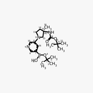 CC(C)(C)OB(O)c1cncc(N2CC[C@@](C)(NC(=O)OC(C)(C)C)C2)c1